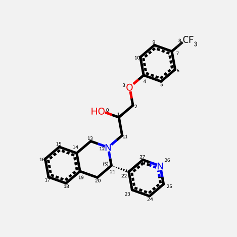 OC(COc1ccc(C(F)(F)F)cc1)CN1Cc2ccccc2C[C@H]1c1cccnc1